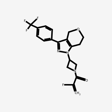 C=C(F)C(=O)N1CC(n2nc(-c3ccc(C(F)(F)F)cc3)c3c2CCOC3)C1